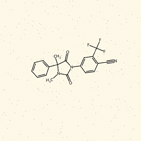 [CH2]C1(c2ccccc2)C(=O)N(c2ccc(C#N)c(C(F)(F)F)c2)C(=O)N1C